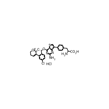 Cl.Nc1nc(O[C@H](c2ccc(Cl)cc2C2=CCCOC2)C(F)(F)F)c2scc(-c3ccc(CC(N)C(=O)O)cc3)c2n1